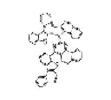 c1ccc2c(c1)ccc1c(-c3cccc4c3sc3ccc5ccccc5c34)nc(-n3c4c5ccccc5ccc4c4c5ccccc5c5c6ccccc6sc5c43)nc12